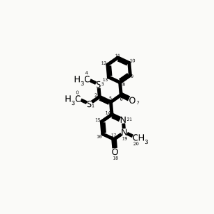 CSC(SC)=C(C(=O)c1ccccc1)c1ccc(=O)n(C)n1